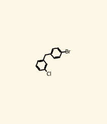 Clc1cccc(Cc2ccc(Br)cc2)c1